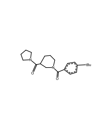 CC(C)(C)c1ccc(C(=O)N2CCCC(C(=O)N3CCCC3)C2)cc1